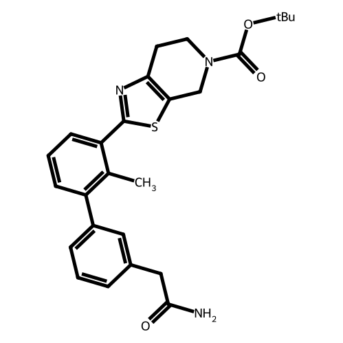 Cc1c(-c2cccc(CC(N)=O)c2)cccc1-c1nc2c(s1)CN(C(=O)OC(C)(C)C)CC2